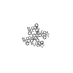 CC(C)(C)c1cc(N2c3cc(C(C)(C)C)c(-c4ccccc4)cc3B3c4cc(-c5ccccc5)c(C(C)(C)C)cc4N(c4ccc(-c5ccccc5)c(C(C)(C)C)c4)c4cc(-c5ccccc5)cc2c43)ccc1-c1ccccc1